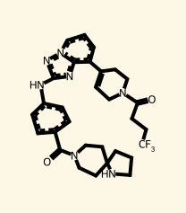 O=C(CCC(F)(F)F)N1CC=C(c2cccn3nc(Nc4ccc(C(=O)N5CCC6(CCCN6)CC5)cc4)nc23)CC1